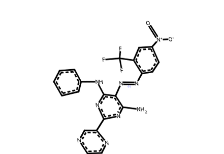 Nc1nc(-c2cnccn2)nc(Nc2ccccc2)c1/N=N/c1ccc([N+](=O)[O-])cc1C(F)(F)F